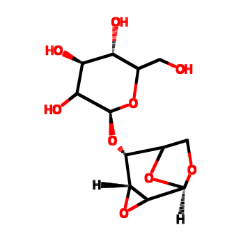 OCC1O[C@@H](O[C@@H]2C3CO[C@H](O3)C3O[C@@H]32)C(O)[C@@H](O)[C@@H]1O